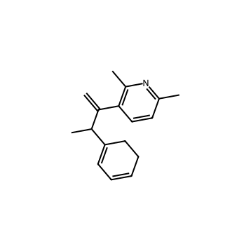 C=C(c1ccc(C)nc1C)C(C)C1=CC=CCC1